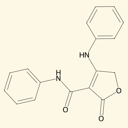 O=C(Nc1ccccc1)C1=C(Nc2ccccc2)COC1=O